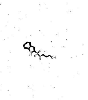 O=S(=O)(NCCCO)c1cc2ccccc2[nH]1